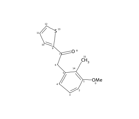 COc1cccc(CC(=O)c2cccs2)c1C